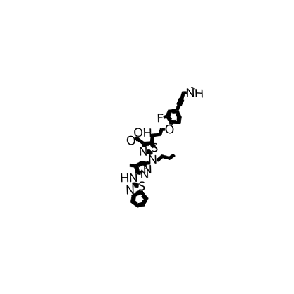 CCCCN(c1cc(C)c(Nc2nc3ccccc3s2)nn1)c1nc(C(=O)O)c(CCCOc2ccc(C#CCNC)cc2F)s1